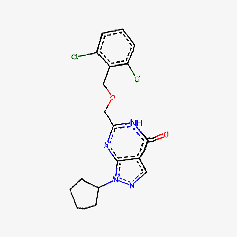 O=c1[nH]c(COCc2c(Cl)cccc2Cl)nc2c1cnn2C1CCCC1